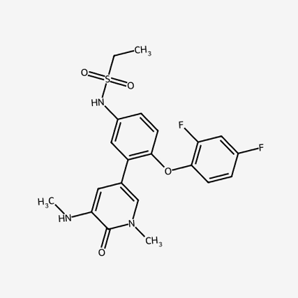 CCS(=O)(=O)Nc1ccc(Oc2ccc(F)cc2F)c(-c2cc(NC)c(=O)n(C)c2)c1